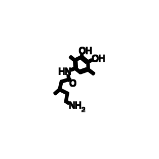 Cc1cc(NC(=O)CC(C)CCN)c(C)c(O)c1O